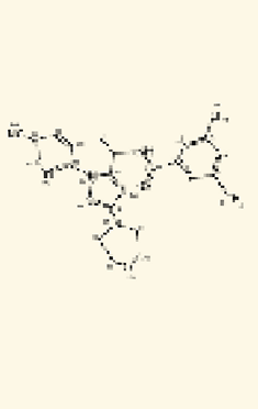 CC(NC(=O)c1cc(C(F)(F)F)cc(C(F)(F)F)c1)c1nc(N2CCOCC2)nn1-c1ccc(C#N)cn1